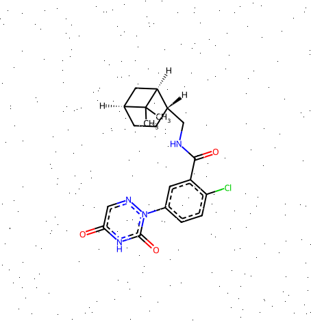 CC1(C)[C@H]2CC[C@@H](CNC(=O)c3cc(-n4ncc(=O)[nH]c4=O)ccc3Cl)[C@@H]1C2